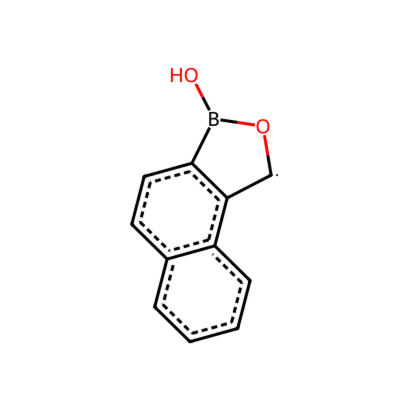 OB1O[CH]c2c1ccc1ccccc21